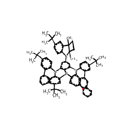 CC(C)(C)c1ccc2c(c1)B1c3ccc(-c4ccccc4)cc3N(c3ccc(C(C)(C)C)cc3-c3ccccc3)c3cc(N4c5ccc(C(C)(C)C)cc5C5(C)CCC45C)cc(c31)N2c1ccc(C(C)(C)C)cc1-c1ccccc1